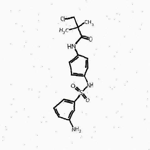 CC(C)(CCl)C(=O)Nc1ccc(NS(=O)(=O)c2cccc(N)c2)cc1